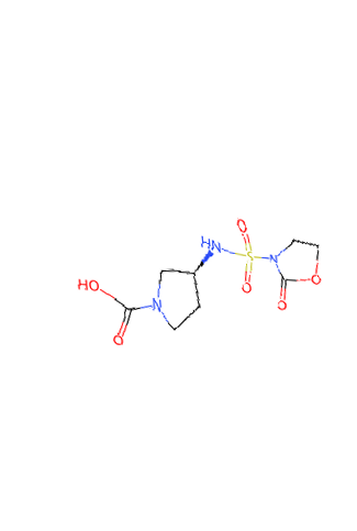 O=C(O)N1CC[C@H](NS(=O)(=O)N2CCOC2=O)C1